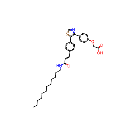 CCCCCCCCCCCCNC(=O)C=Cc1ccc(-c2scnc2-c2ccc(OCC(=O)O)cc2)cc1